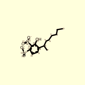 CCCCCCC(C)c1ccc([N+](=O)[O-])c([N+](=O)[O-])c1O